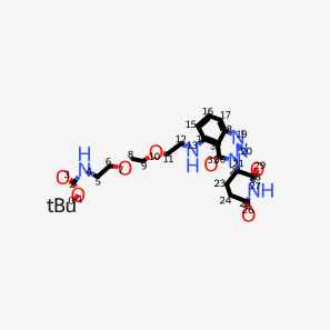 CC(C)(C)OC(=O)NCCOCCOCCNc1cccc2nnn(C3CCC(=O)NC3=O)c(=O)c12